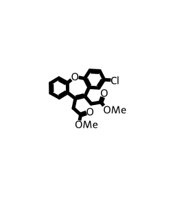 COC(=O)CC1=C(CC(=O)OC)c2cc(Cl)ccc2Oc2ccccc21